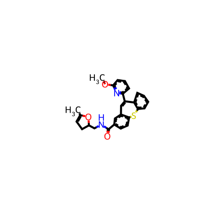 COc1cccc(C2=Cc3cc(C(=O)NCC4CC=C(C)O4)ccc3Sc3ccccc32)n1